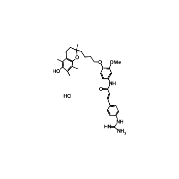 COc1cc(NC(=O)/C=C/c2ccc(NC(=N)N)cc2)ccc1OCCCCC1(C)CCc2c(C)c(O)c(C)c(C)c2O1.Cl